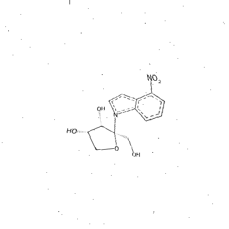 O=[N+]([O-])c1cccc2c1ccn2[C@@]1(CO)OC[C@H](O)[C@@H]1O